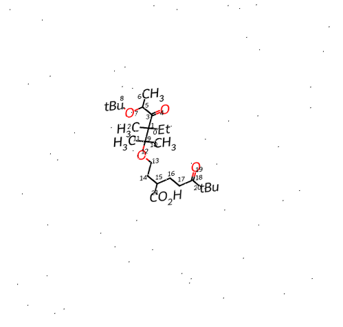 CCC(C)(C(=O)C(C)OC(C)(C)C)C(C)(C)OCCC(CCC(=O)C(C)(C)C)C(=O)O